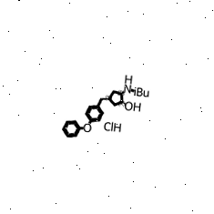 CCC(C)N[C@@H]1C[C@H](Cc2ccc(Oc3ccccc3)cc2)C[C@H]1O.Cl